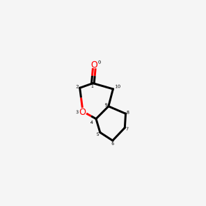 O=C1COC2CCCCC2C1